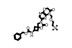 C[Si](C)(C)CCOCN1C(=O)COc2ncc(N3CC4(CC(NC(=O)OCc5ccccc5)C4)OC3=O)nc21